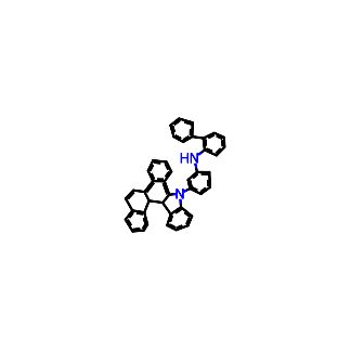 C1=Cc2ccccc2C2C1=c1ccccc1=C1C2c2ccccc2N1c1cccc(Nc2ccccc2-c2ccccc2)c1